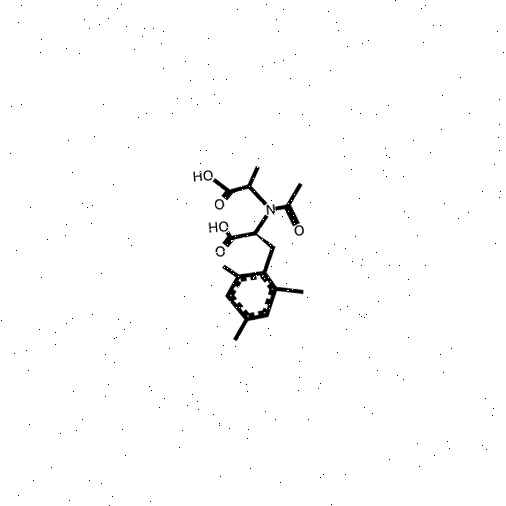 CC(=O)N(C(C)C(=O)O)[C@@H](Cc1c(C)cc(C)cc1C)C(=O)O